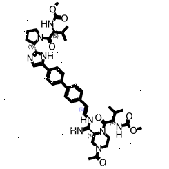 COC(=O)N[C@H](C(=O)N1CCN(C(C)=O)C[C@H]1C(=N)N/C=C/c1ccc(-c2ccc(-c3cnc([C@@H]4CCCN4C(=O)[C@@H](NC(=O)OC)C(C)C)[nH]3)cc2)cc1)C(C)C